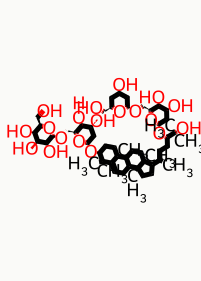 CC(CCC(O[C@H]1C[C@@H](O)[C@H](O)[C@@H](CO[C@H]2C[C@@H](O)C[C@@H](CO)O2)O1)C(C)(C)O)C1CCC2(C)C3CC=C4C(CC[C@H](O[C@H]5C[C@@H](O)[C@H](O)[C@@H](CO[C@@H]6O[C@H](CO)[C@@H](O)[C@H](O)[C@H]6O)O5)C4(C)C)C3(C)CCC12C